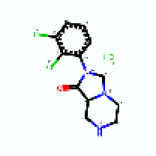 Cl.O=C1C2CNCCN2CN1c1cccc(Cl)c1Cl